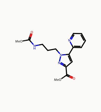 COC(=O)NCCCn1nc(C(=O)OC)cc1-c1ccccn1